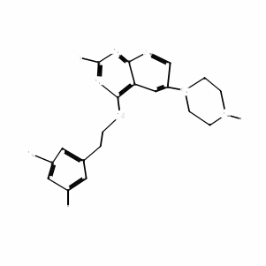 CCN1CCN(c2cnc3nc(Cl)nc(NCCc4cc([N+](=O)[O-])cc(C(F)(F)F)c4)c3c2)CC1